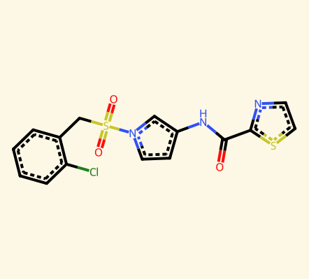 O=C(Nc1ccn(S(=O)(=O)Cc2ccccc2Cl)c1)c1nccs1